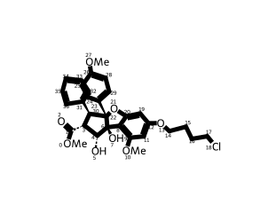 COC(=O)[C@H]1[C@@H](O)[C@@]2(O)c3c(OC)cc(OCCCCCl)cc3O[C@@]2(c2ccc(OC)cc2)[C@@H]1c1ccccc1